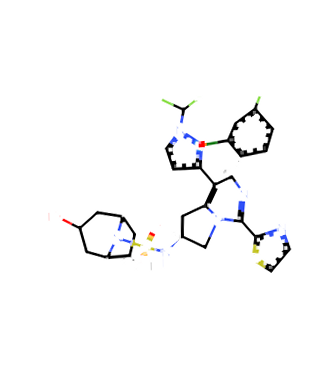 C[C@H]1CC2CC(O)CC1N2S(=O)(=O)N[C@H]1CC2=C(c3ccn(C(F)F)n3)[C@H](c3ccc(F)cc3Cl)N=C(c3nccs3)N2C1